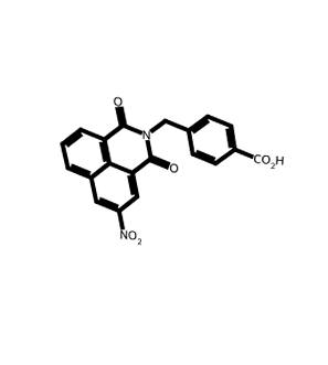 O=C(O)c1ccc(CN2C(=O)c3cccc4cc([N+](=O)[O-])cc(c34)C2=O)cc1